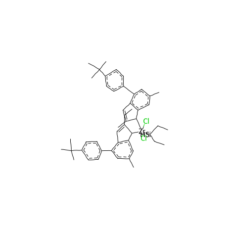 CCC1=Cc2c(-c3ccc(C(C)(C)C)cc3)cc(C)cc2[CH]1[Zr]([Cl])([Cl])([CH]1C(C)=Cc2c(-c3ccc(C(C)(C)C)cc3)cc(C)cc21)[SiH](CC)CC